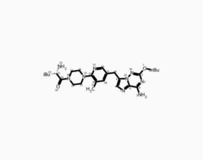 CCCCOc1nc(N)c2ncc(Cc3cnc(N4CCN(C(=O)[C@@H](N)[C@@H](C)CC)CC4)c(C)c3)n2n1